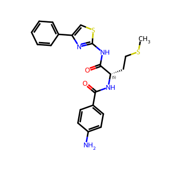 CSCC[C@H](NC(=O)c1ccc(N)cc1)C(=O)Nc1nc(-c2ccccc2)cs1